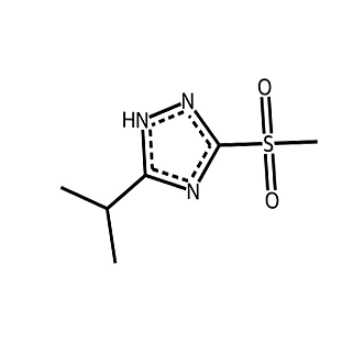 CC(C)c1nc(S(C)(=O)=O)n[nH]1